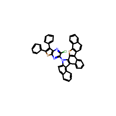 Clc1nc2c(-c3ccccc3)c(-c3ccccc3)sc2nc1-n1c2ccc3ccccc3c2c2c3ccccc3c3c4ccc5ccccc5c4sc3c21